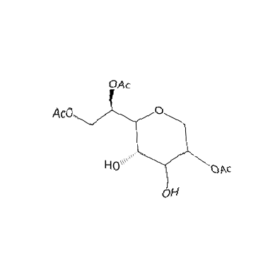 CC(=O)OC[C@@H](OC(C)=O)C1OCC(OC(C)=O)C(O)[C@@H]1O